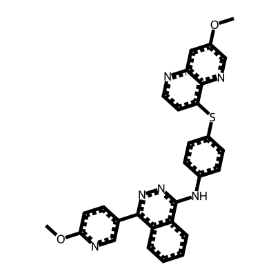 COc1cnc2c(Sc3ccc(Nc4nnc(-c5ccc(OC)nc5)c5ccccc45)cc3)ccnc2c1